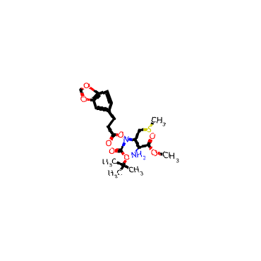 COC(=O)[C@@H](N)C(CSC)N(OC(=O)CCc1ccc2c(c1)OCO2)C(=O)OC(C)(C)C